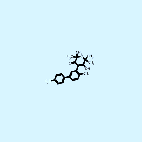 Cc1ccc(-c2ccc(C(F)(F)F)cc2)cc1C1=C(O)C(C)(C)OC(C)(C)C1=O